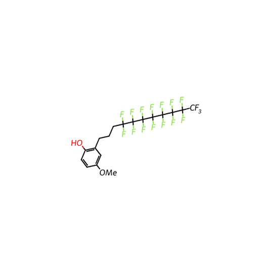 COc1ccc(O)c(CCCC(F)(F)C(F)(F)C(F)(F)C(F)(F)C(F)(F)C(F)(F)C(F)(F)C(F)(F)F)c1